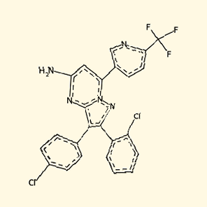 Nc1cc(-c2ccc(C(F)(F)F)nc2)n2nc(-c3ccccc3Cl)c(-c3ccc(Cl)cc3)c2n1